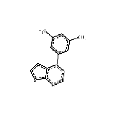 Cc1cc(C)cc(-c2ncnc3sccc23)c1